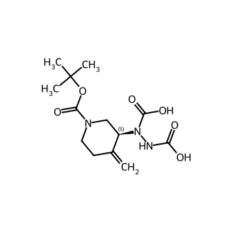 C=C1CCN(C(=O)OC(C)(C)C)C[C@H]1N(NC(=O)O)C(=O)O